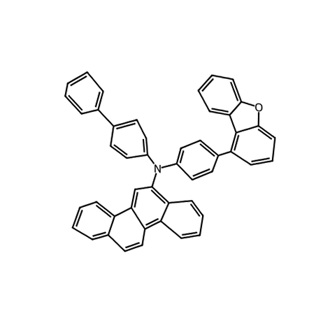 c1ccc(-c2ccc(N(c3ccc(-c4cccc5oc6ccccc6c45)cc3)c3cc4c5ccccc5ccc4c4ccccc34)cc2)cc1